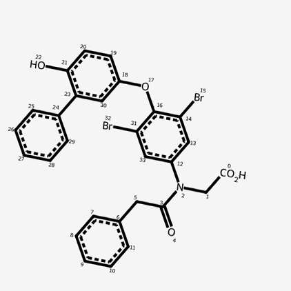 O=C(O)CN(C(=O)Cc1ccccc1)c1cc(Br)c(Oc2ccc(O)c(-c3ccccc3)c2)c(Br)c1